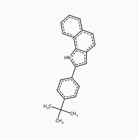 CC(C)(C)c1ccc(-c2cc3ccc4ccccc4c3[nH]2)cc1